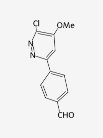 COc1cc(-c2ccc(C=O)cc2)nnc1Cl